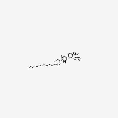 CCCCCCCCCCCc1ccc(-c2ncc(-c3ccc(OC(C)C(=O)OC)cc3)cn2)cc1